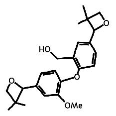 COc1cc(C2OCC2(C)C)ccc1Oc1ccc(C2OCC2(C)C)cc1CO